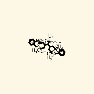 CC(C(=O)O)(C(=O)O)C(C1CC(C)(C)N(Cc2ccccc2)C(C)(C)C1)C1CC(C)(C)N(Cc2ccccc2)C(C)(C)C1